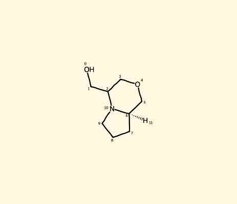 OCC1COC[C@H]2CCCN12